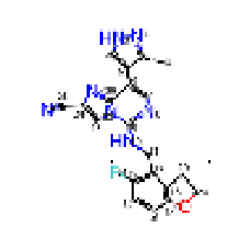 Cc1n[nH]cc1-c1cnc(NCc2c(F)ccc3c2CCO3)n2cc(C#N)nc12